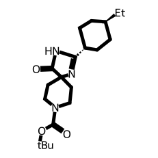 CC[C@H]1CC[C@H](C2=NC3(CCN(C(=O)OC(C)(C)C)CC3)C(=O)N2)CC1